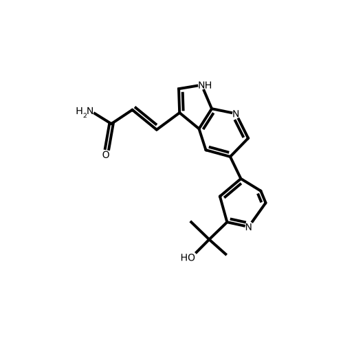 CC(C)(O)c1cc(-c2cnc3[nH]cc(C=CC(N)=O)c3c2)ccn1